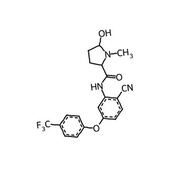 CN1C(O)CCC1C(=O)Nc1cc(Oc2ccc(C(F)(F)F)cc2)ccc1C#N